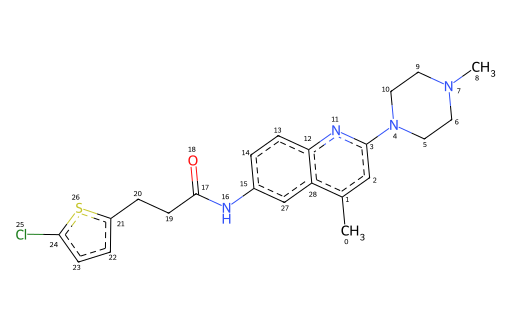 Cc1cc(N2CCN(C)CC2)nc2ccc(NC(=O)CCc3ccc(Cl)s3)cc12